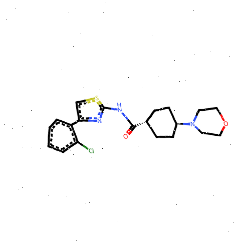 O=C(Nc1nc(-c2ccccc2Cl)cs1)[C@H]1CC[C@H](N2CCOCC2)CC1